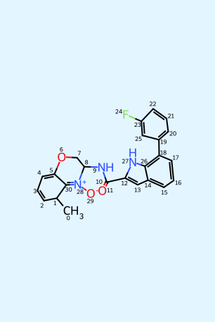 CC1C=CC=C2OCC(NC(=O)c3cc4cccc(-c5cccc(F)c5)c4[nH]3)[N+]([O-])=C21